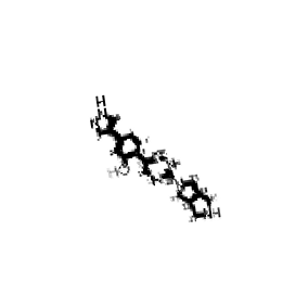 Oc1cc(-c2cn[nH]c2)ccc1-c1cnc(N2CC3CNCC3C2)nn1